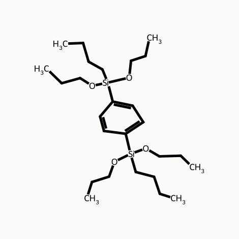 CCCC[Si](OCCC)(OCCC)c1ccc([Si](CCCC)(OCCC)OCCC)cc1